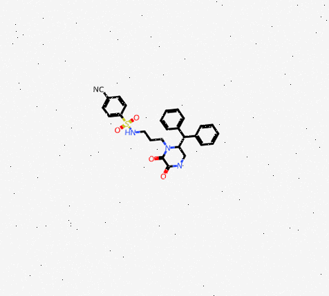 N#Cc1ccc(S(=O)(=O)NCCCN2C(=O)C(=O)[N]CC2C(c2ccccc2)c2ccccc2)cc1